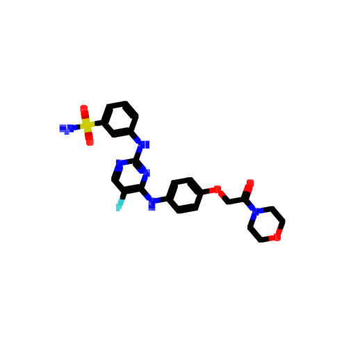 NS(=O)(=O)c1cccc(Nc2ncc(F)c(Nc3ccc(OCC(=O)N4CCOCC4)cc3)n2)c1